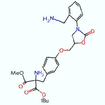 COC(=O)C(N)(Cc1ccc(OCC2CN(c3ccccc3CN)C(=O)O2)cc1)C(=O)OC(C)(C)C